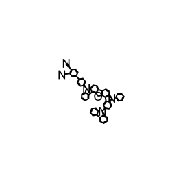 N#Cc1ccc(-c2ccc(-n3c4ccccc4c4c5oc6c(ccc7c6c6cc(-n8c9ccccc9c9ccccc98)ccc6n7-c6ccccc6)c5ccc43)cc2)cc1C#N